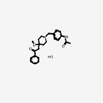 COC1(CC(=O)c2ccccc2)CCN(Cc2ccc(NC(C)=O)cc2)CC1.Cl